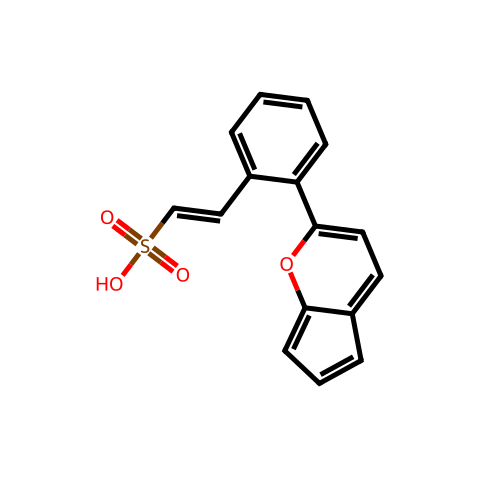 O=S(=O)(O)C=Cc1ccccc1-c1ccc2cccc-2o1